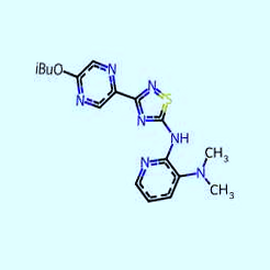 CC(C)COc1cnc(-c2nsc(Nc3ncccc3N(C)C)n2)cn1